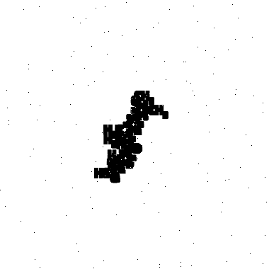 COc1cc(C)cc(-c2ccc([C@H](CNC(=O)c3ccc(C[C@H](N)C(=O)O)cc3)C(C)C)cc2)c1